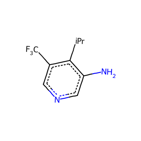 CC(C)c1c(N)cncc1C(F)(F)F